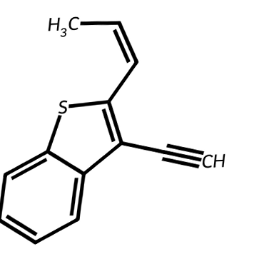 C#Cc1c(/C=C\C)sc2ccccc12